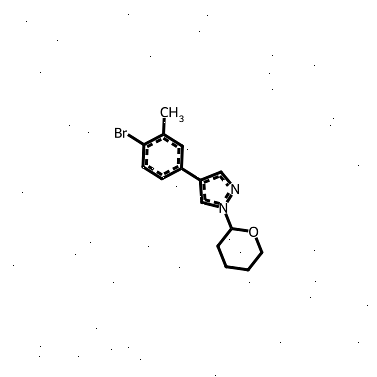 Cc1cc(-c2cnn(C3CCCCO3)c2)ccc1Br